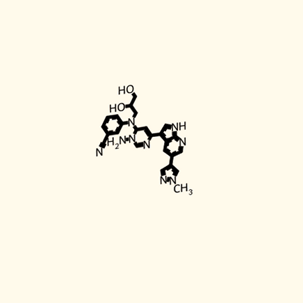 Cn1cc(-c2cnc3[nH]cc(C4=CC(N(CC(O)CO)c5cccc(C#N)c5)N(N)C=N4)c3c2)cn1